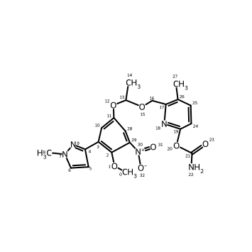 COc1c(-c2ccn(C)n2)cc(OC(C)OCc2nc(OC(N)=O)ccc2C)cc1[N+](=O)[O-]